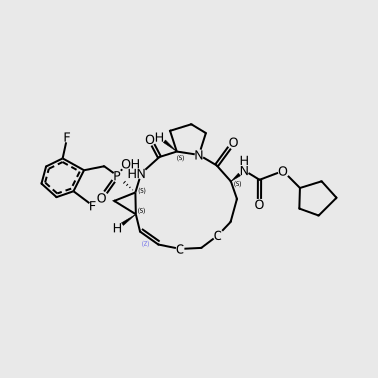 O=C(N[C@H]1CCCCC/C=C\[C@@H]2C[C@@]2(P(=O)(O)Cc2c(F)cccc2F)NC(=O)[C@@H]2CCCN2C1=O)OC1CCCC1